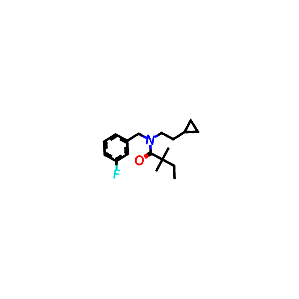 CCC(C)(C)C(=O)N(CCC1CC1)Cc1cccc(F)c1